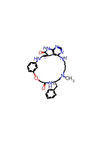 CN1CCCNc2ncnc3c2/C(=C/Nc2cccc(c2)OCC(=O)N[C@H](Cc2ccccc2)C1)C(=O)N3